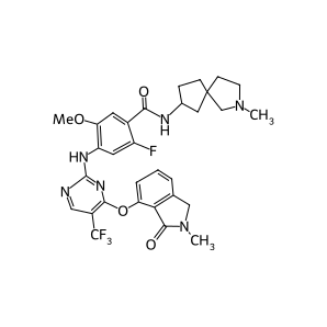 COc1cc(C(=O)NC2CCC3(CCN(C)C3)C2)c(F)cc1Nc1ncc(C(F)(F)F)c(Oc2cccc3c2C(=O)N(C)C3)n1